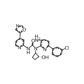 Nc1ccc(-c2cccc(Cl)c2)nc1N(C(=O)Nc1cc(-c2cnco2)ccn1)C1CC[C@H]1O